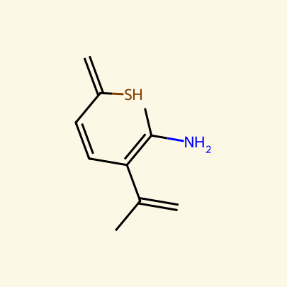 C=C(S)/C=C\C(C(=C)C)=C(/C)N